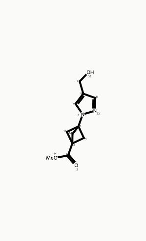 COC(=O)C12CC(n3cc(CO)cn3)(C1)C2